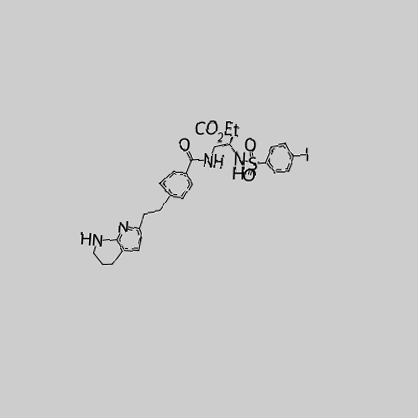 CCOC(=O)[C@H](CNC(=O)c1ccc(CCc2ccc3c(n2)NCCC3)cc1)NS(=O)(=O)c1ccc(I)cc1